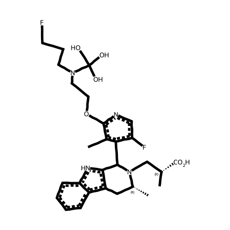 Cc1c(OCCN(CCCF)C(O)(O)O)ncc(F)c1C1c2[nH]c3ccccc3c2C[C@@H](C)N1C[C@@H](C)C(=O)O